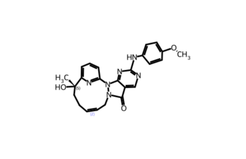 COc1ccc(Nc2ncc3c(=O)n4n(c3n2)-c2cccc(n2)[C@@](C)(O)CC/C=C\C4)cc1